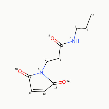 CCCNC(=O)CCN1C(=O)C=CC1=O